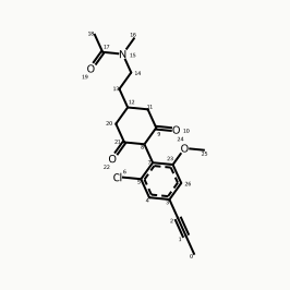 CC#Cc1cc(Cl)c(C2C(=O)CC(CCN(C)C(C)=O)CC2=O)c(OC)c1